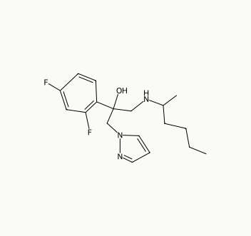 CCCCC(C)NCC(O)(Cn1cccn1)c1ccc(F)cc1F